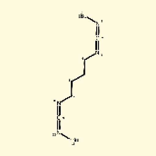 CC(C)(C)N=C=NCCCCN=C=NC(C)(C)C